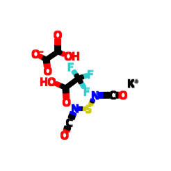 O=C(O)C(F)(F)F.O=C([O-])C(=O)O.O=C=NSN=C=O.[K+]